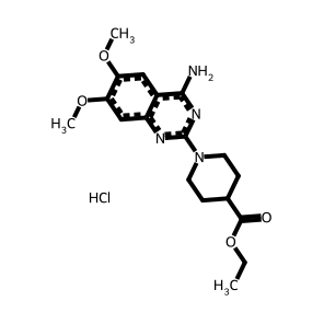 CCOC(=O)C1CCN(c2nc(N)c3cc(OC)c(OC)cc3n2)CC1.Cl